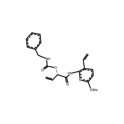 C=Cc1ccc(OC)nc1NC(=O)[C@H](C=C)OC(=O)NCc1ccccc1